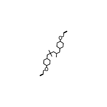 C=CCOC1CCC(CC(C)CC(C)(C)CC2CCC(OCC=C)CC2)CC1